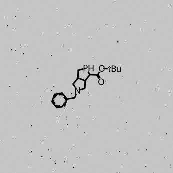 CC(C)(C)OC(=O)C1PCC2CN(Cc3ccccc3)CC21